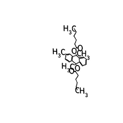 CCCCCC(=O)OC1(C)c2ccccc2C(C)(OC(=O)CCCCC)c2cc(C)ccc21